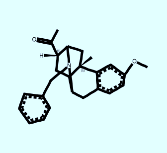 COc1ccc2c(c1)[C@@]1(C)CC3[C@@H](C(C)=O)CC1C(C2)N3Cc1ccccc1